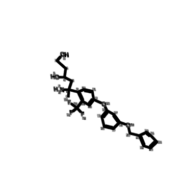 CC(N)(CC(O)CCO)c1ccc(Oc2cccc(OCc3ccccc3)c2)cc1C(F)(F)F